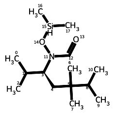 CC(C)[C@H](CC(C)(C)C(C)C)N(C=O)O[SiH](C)C